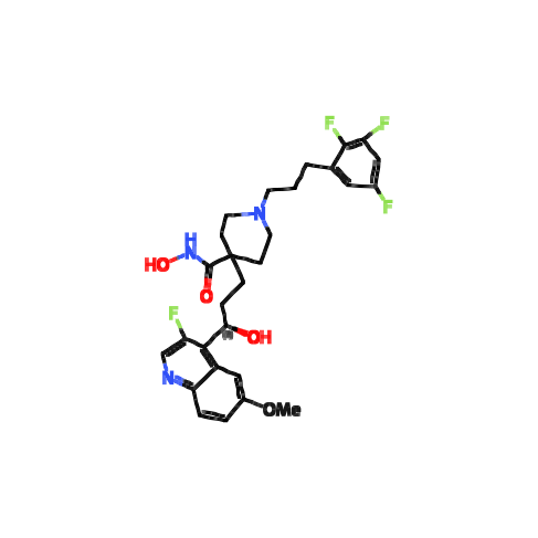 COc1ccc2ncc(F)c([C@H](O)CCC3(C(=O)NO)CCN(CCCc4cc(F)cc(F)c4F)CC3)c2c1